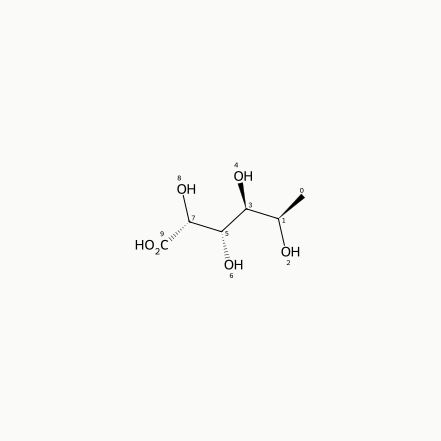 C[C@@H](O)[C@H](O)[C@H](O)[C@@H](O)C(=O)O